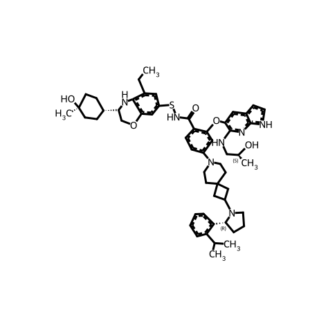 CCc1cc(SNC(=O)c2ccc(N3CCC4(CC3)CC(N3CCC[C@@H]3c3ccccc3C(C)C)C4)cc2Oc2cc3cc[nH]c3nc2NC[C@H](C)O)cc2c1NC([C@H]1CC[C@](C)(O)CC1)CO2